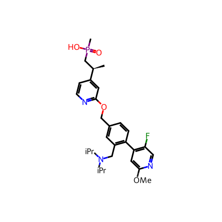 COc1cc(-c2ccc(COc3cc([C@H](C)CP(C)(=O)O)ccn3)cc2CN(C(C)C)C(C)C)c(F)cn1